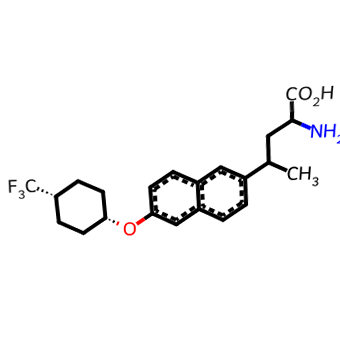 CC(CC(N)C(=O)O)c1ccc2cc(O[C@H]3CC[C@@H](C(F)(F)F)CC3)ccc2c1